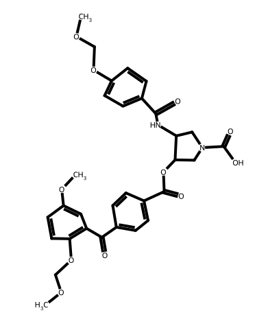 COCOc1ccc(C(=O)NC2CN(C(=O)O)CC2OC(=O)c2ccc(C(=O)c3cc(OC)ccc3OCOC)cc2)cc1